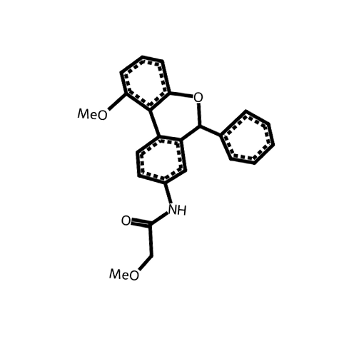 COCC(=O)Nc1ccc2c(c1)C(c1ccccc1)Oc1cccc(OC)c1-2